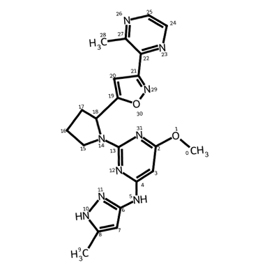 COc1cc(Nc2cc(C)[nH]n2)nc(N2CCCC2c2cc(-c3nccnc3C)no2)n1